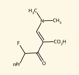 CCCC(F)C(=O)C(=CN(C)C)C(=O)O